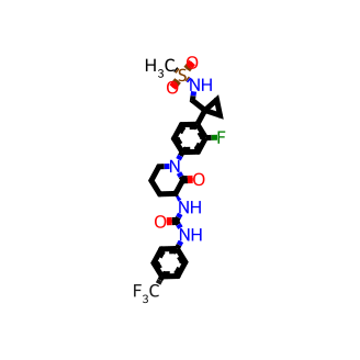 CS(=O)(=O)NCC1(c2ccc(N3CCC[C@H](NC(=O)Nc4ccc(C(F)(F)F)cc4)C3=O)cc2F)CC1